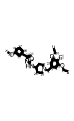 CCOc1cc(CN2CCC(Nc3nc(-c4cccc(OC)c4)co3)CC2)cc(OCC)c1Cl